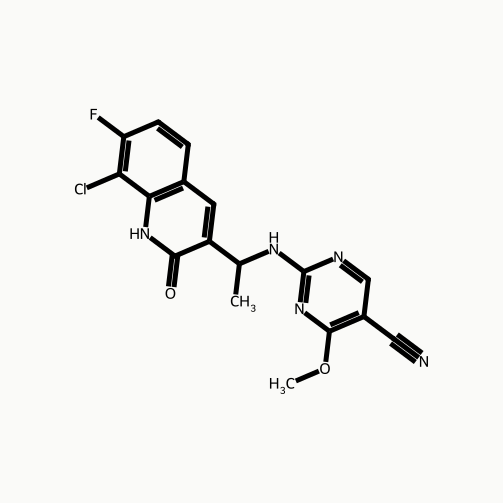 COc1nc(NC(C)c2cc3ccc(F)c(Cl)c3[nH]c2=O)ncc1C#N